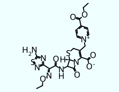 CCON=C(C(=O)NC1C(=O)N2C(C(=O)[O-])=C(C[n+]3ccc(C(=O)OCC)cc3)CS[C@@H]12)c1nsc(N)n1